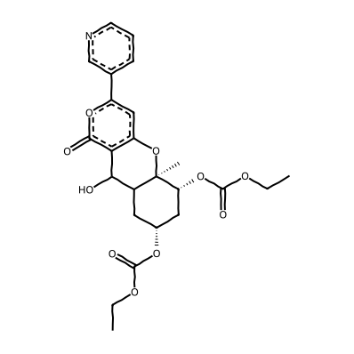 CCOC(=O)O[C@@H]1CC2C(O)c3c(cc(-c4cccnc4)oc3=O)O[C@@]2(C)[C@H](OC(=O)OCC)C1